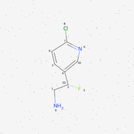 NC[C@@H](F)c1ccc(Cl)nc1